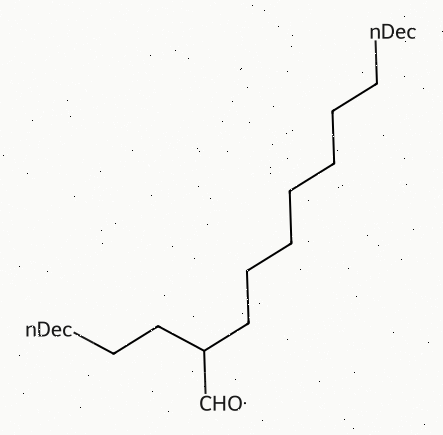 CCCCCCCCCCCCCCCCCC([C]=O)CCCCCCCCCCCC